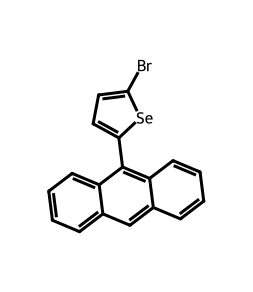 Brc1ccc(-c2c3ccccc3cc3ccccc23)[se]1